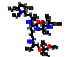 C=C(COC(C)(C)COC(C)C)NCCCC[C@H](NC(=C)CCCN(C)C(=C)/C=C\C=O)C(=O)NC(C)C(=O)N[C@@H](C)C=O